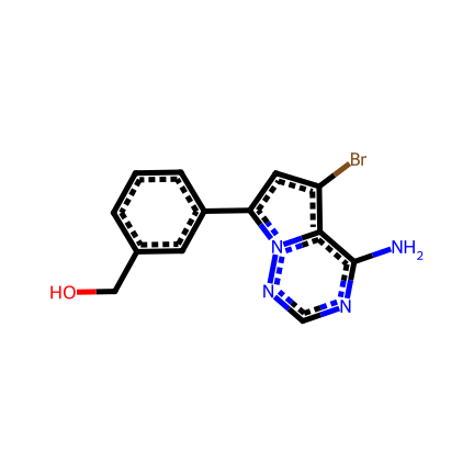 Nc1ncnn2c(-c3cccc(CO)c3)cc(Br)c12